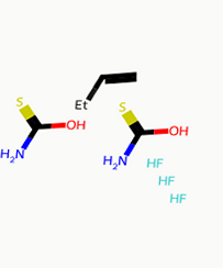 C=CCC.F.F.F.NC(O)=S.NC(O)=S